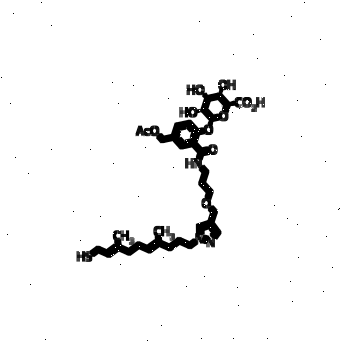 CC(=O)OCc1ccc(O[C@@H]2O[C@H](C(=O)O)[C@@H](O)[C@H](O)[C@H]2O)c(C(=O)NCCCOCc2cnn(CCC/C(C)=C/CC/C(C)=C/CS)c2)c1